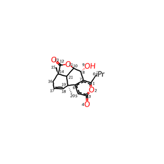 CC(C)c1oc(=O)cc2c1[C@@H](O)C1OC(=O)[C@@]3(C)CC=C[C@@]2(C)C13